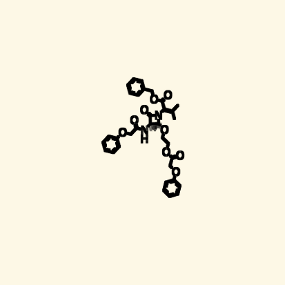 CC(C)=C(C(=O)OCc1ccccc1)N1C(=O)[C@H](NC(=O)COc2ccccc2)[C@@H]1OCCOC(=O)COc1ccccc1